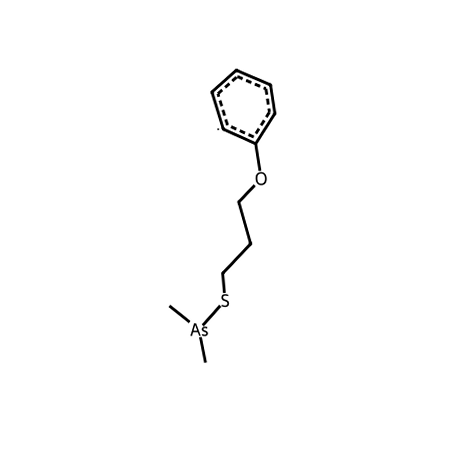 C[As](C)SCCCOc1[c]cccc1